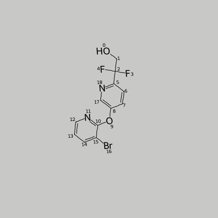 OCC(F)(F)c1ccc(Oc2ncccc2Br)cn1